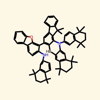 CC1(C)CCC(C)(C)c2cc(Nc3ccc4c(oc5ccccc54)c3-c3cc4c(c5c3Bc3cc6c(cc3N5c3ccc5c(c3)C(C)(C)CCC5(C)C)C(C)(C)CCC6(C)C)C(C)(C)c3ccccc3-4)ccc21